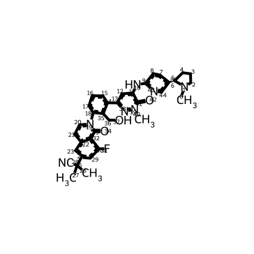 CN1CCC[C@H]1c1ccc(Nc2cc(-c3cccc(-n4ccc5cc(C(C)(C)C#N)cc(F)c5c4=O)c3CO)nn(C)c2=O)nc1